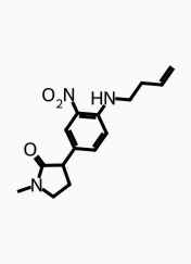 C=CCCNc1ccc(C2CCN(C)C2=O)cc1[N+](=O)[O-]